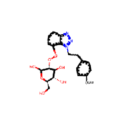 COc1ccc(CCn2nnc3cccc(OO[C@H]4C(O)O[C@H](CO)[C@@H](O)[C@@H]4O)c32)cc1